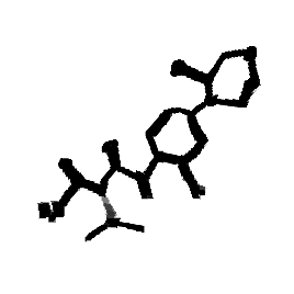 CN(C)[C@H](C(N)=O)C(=O)Nc1ccc(N2CCOCC2=O)cc1F